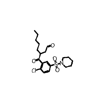 CCCCCC(CC=O)C(=O)c1cc(S(=O)(=O)N2CCCCC2)ccc1Cl